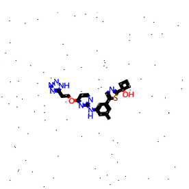 Cc1cc(Nc2nccc(OCCc3nnn[nH]3)n2)cc(-c2cnc(C3(O)CCC3)s2)c1